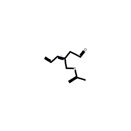 C=C/C=C(/CC=O)CSC(=C)C